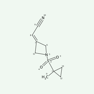 CC1(S(=O)(=O)N2CC(=CC#N)C2)CC1